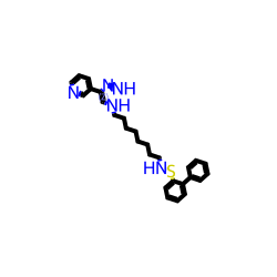 N=N/C(=C\NCCCCCCCCNSc1ccccc1-c1ccccc1)c1cccnc1